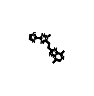 Cc1ncc(C)n2nc(CCc3nc(-c4nccs4)nn3C)nc12